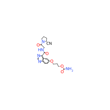 N#CC1CCCN1C(=O)CNC(=O)c1ncnc2ccc(OCCCOC(N)=O)cc12